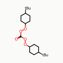 CC(C)(C)C1CCC(OOC(=O)OOC2CCC(C(C)(C)C)CC2)CC1